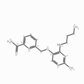 CCCCNc1nc(C)ncc1OCc1cccc(C(N)=O)n1